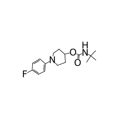 CC(C)(C)NC(=O)OC1CCN(c2ccc(F)cc2)CC1